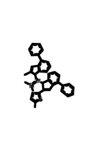 CC1=Cc2c(-c3ccccc3)cccc2[CH]1[Zr]([CH]1C(c2ccc(C)s2)=Cc2c(-c3ccccc3)cccc21)=[Si](C)C